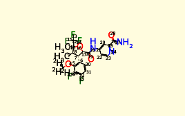 [2H]C([2H])([2H])Oc1c([C@@H]2[C@@H](C)[C@](C)(C(F)(F)F)O[C@H]2C(=O)Nc2ccnc(C(N)=O)c2)ccc(F)c1F